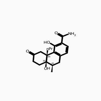 CCC[C@]12CC(=O)CC[C@@]1(O)[C@H](C)Cc1ccc(C(N)=O)c(O)c12